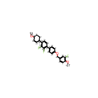 CCOc1ccc(COc2ccc(-c3ccc(C4CCC(OCC)CC4)c(F)c3F)cc2)cc1F